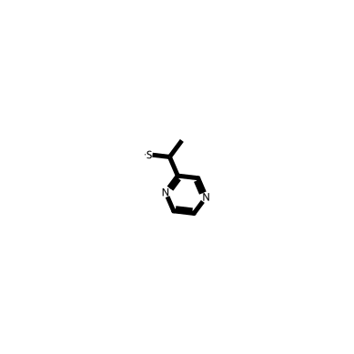 CC([S])c1cnccn1